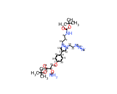 CC(C)(C)OC(=O)NCCCn1cc(-c2ccc(OCC(ON)C(=O)OC(C)(C)C)cc2)c[n+]1CCN=[N+]=[N-]